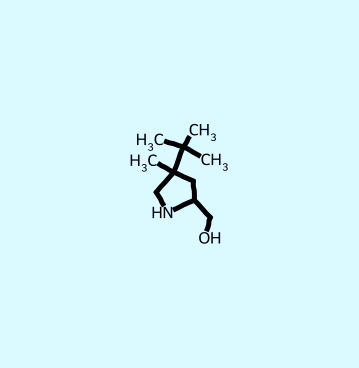 CC(C)(C)C1(C)CNC(CO)C1